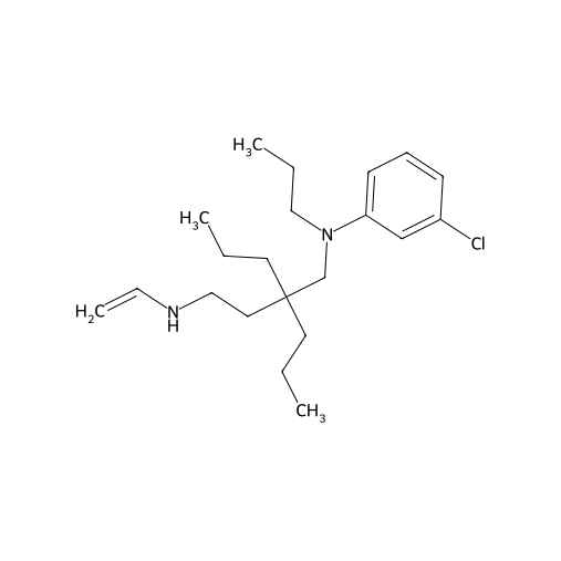 C=CNCCC(CCC)(CCC)CN(CCC)c1cccc(Cl)c1